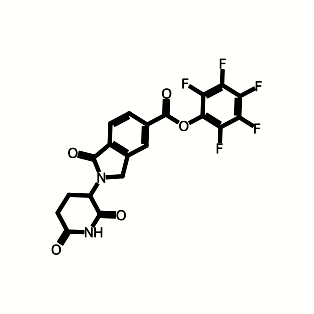 O=C1CCC(N2Cc3cc(C(=O)Oc4c(F)c(F)c(F)c(F)c4F)ccc3C2=O)C(=O)N1